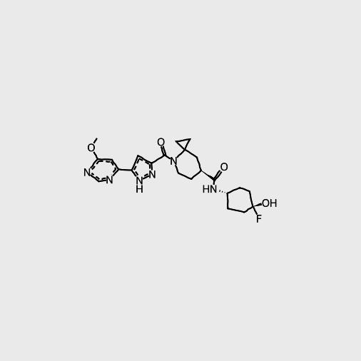 COc1cc(-c2cc(C(=O)N3CC[C@H](C(=O)N[C@H]4CC[C@@](O)(F)CC4)CC34CC4)n[nH]2)ncn1